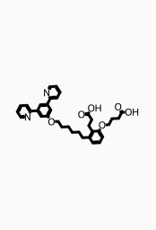 O=C(O)CCCOc1cccc(CCCCCCOc2cc(-c3ccccn3)cc(-c3ccccn3)c2)c1CCC(=O)O